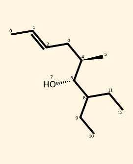 C/C=C/C[C@@H](C)[C@@H](O)C(CC)CC